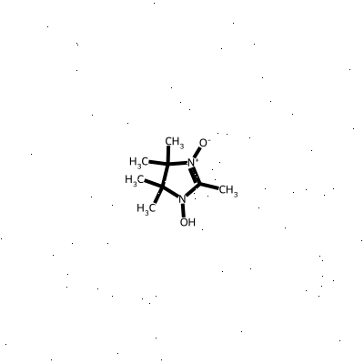 CC1=[N+]([O-])C(C)(C)C(C)(C)N1O